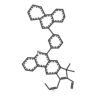 C=CC1=C(/C=C\C)c2cc3c(cc2C1(C)C)c(-c1cccc(-c2cc4ccccc4c4ccccc24)c1)nc1ccccc13